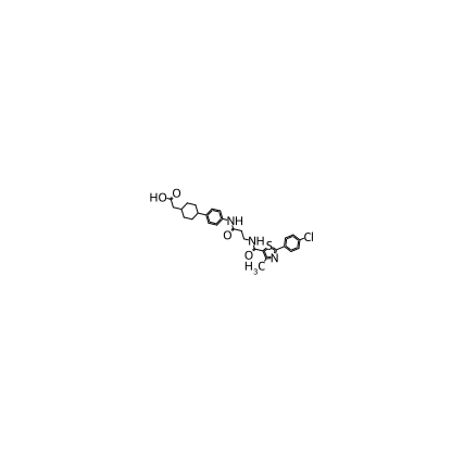 Cc1nc(-c2ccc(Cl)cc2)sc1C(=O)NCCC(=O)Nc1ccc(C2CCC(CC(=O)O)CC2)cc1